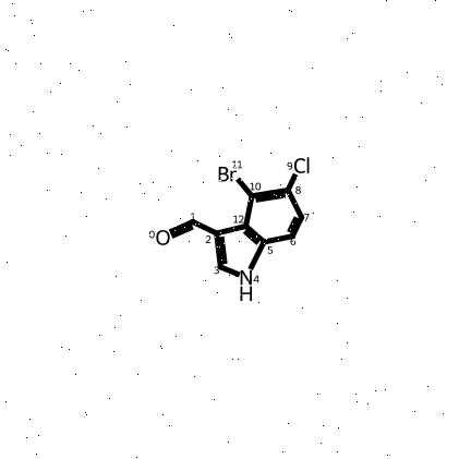 O=Cc1c[nH]c2ccc(Cl)c(Br)c12